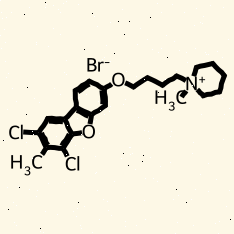 Cc1c(Cl)cc2c(oc3cc(OCCCC[N+]4(C)CCCCC4)ccc32)c1Cl.[Br-]